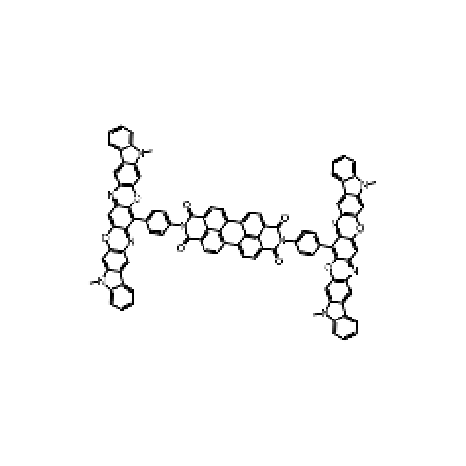 Cn1c2ccccc2c2cc3c(cc21)Oc1c(-c2ccc(N4C(=O)c5ccc6c7ccc8c9c(ccc(c%10ccc(c5c6%10)C4=O)c97)C(=O)N(c4ccc(-c5c6c(cc7c5=Nc5cc9c%10ccccc%10n(C)c9cc5O7)=Nc5cc7c9ccccc9n(C)c7cc5O6)cc4)C8=O)cc2)c2c(cc1=N3)Oc1cc3c(cc1N=2)c1ccccc1n3C